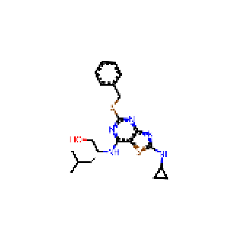 CC(C)C[C@H](CO)Nc1nc(SCc2ccccc2)nc2nc(NC3CC3)sc12